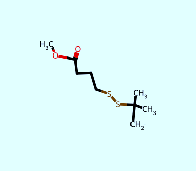 [CH2]C(C)(C)SSCCCC(=O)OC